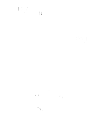 CC(C)(C)OC(=O)c1ccc([C@@H]2CN(C(=O)O)CCCC2C(=O)O)cc1